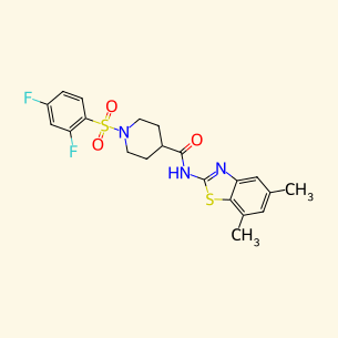 Cc1cc(C)c2sc(NC(=O)C3CCN(S(=O)(=O)c4ccc(F)cc4F)CC3)nc2c1